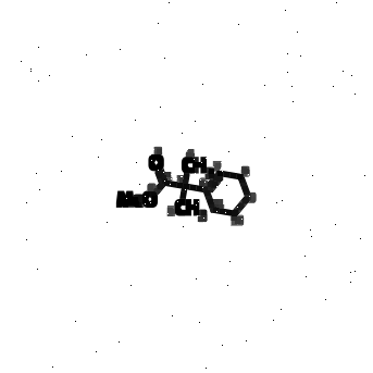 COC(=O)C(C)(C)C1=CCCCC1